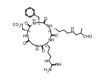 CC(C=O)CNCCCC[C@H]1NC(=O)[C@H](Cc2ccccc2)NC(=O)[C@H](CC(=O)O)NC(=O)CNC(=O)[C@H](CCCNC(=N)N)NC1=O